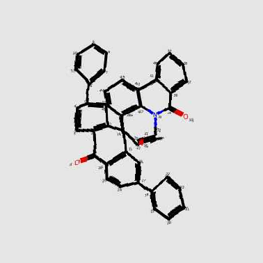 O=C1c2ccc(-c3ccccc3)cc2C2(c3cc(-c4ccccc4)ccc31)c1ccccc1-n1c(=O)c3ccccc3c3cccc2c31